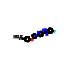 O=C(O)CC1CCC(OC2CCN(c3ccc(-c4nc5cc(F)ccc5[nH]4)cn3)C2)CC1